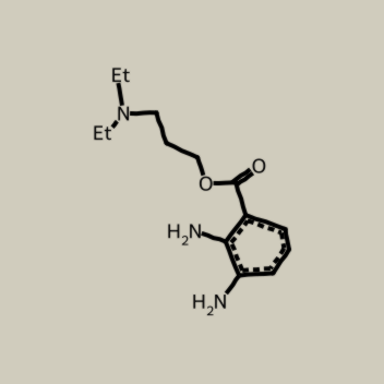 CCN(CC)CCCOC(=O)c1cccc(N)c1N